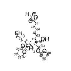 CCCCC[C@@](C)(C=C[C@@H]1[C@@H](CC=CCCCC(=O)OC)[C@@H](O)C[C@H]1OC1CCCCO1)OC1CCCCO1